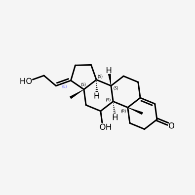 C[C@]12CCC(=O)C=C1CC[C@@H]1[C@@H]2C(O)C[C@]2(C)/C(=C/CO)CC[C@@H]12